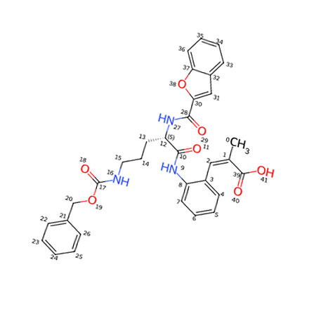 CC(=Cc1ccccc1NC(=O)[C@H](CCCNC(=O)OCc1ccccc1)NC(=O)c1cc2ccccc2o1)C(=O)O